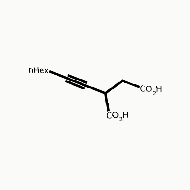 CCCCCCC#CC(CC(=O)O)C(=O)O